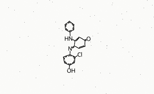 O=C1C=CC(=Nc2ccc(O)cc2Cl)C(Nc2ccccc2)=C1